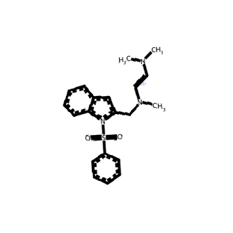 CN(C)/C=C/N(C)Cc1cc2ccccc2n1S(=O)(=O)c1ccccc1